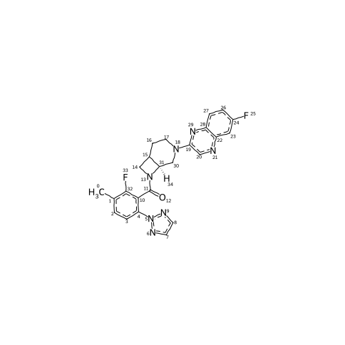 Cc1ccc(-n2nccn2)c(C(=O)N2CC3CCN(c4cnc5cc(F)ccc5n4)C[C@H]32)c1F